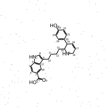 O=C(O)c1ccc2[nH]cc(CCCCC3NCC=CC3c3ccc(O)cc3)c2c1